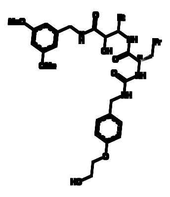 CCC(NC(=O)[C@H](CC(C)C)NC(=O)NCc1ccc(OCCO)cc1)C(O)C(=O)NCc1cc(OC)cc(OC)c1